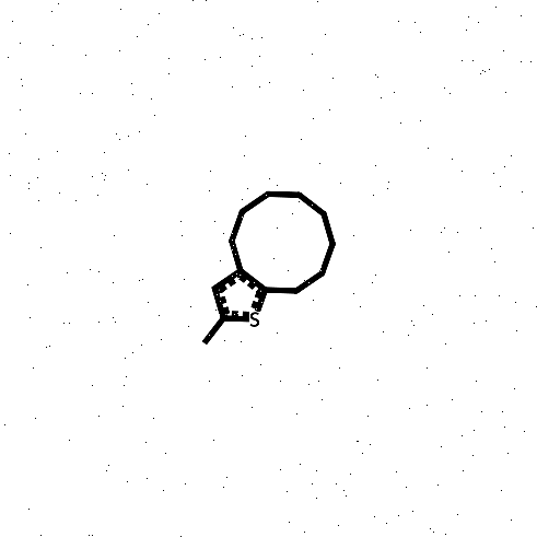 Cc1cc2c(s1)CCCCCCCC2